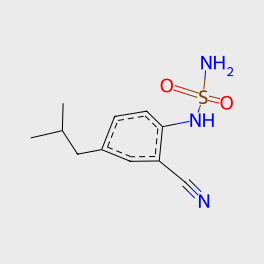 CC(C)Cc1ccc(NS(N)(=O)=O)c(C#N)c1